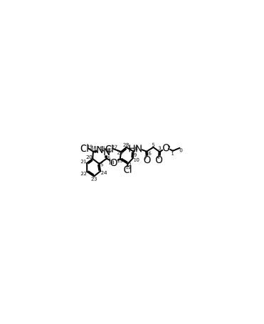 CCOC(=O)CC(=O)Nc1cc(Cl)c(Oc2nnc(Cl)c3ccccc23)c(Cl)c1